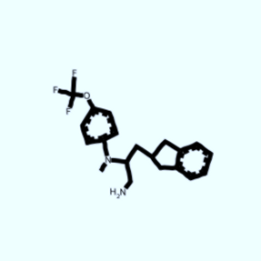 CN(c1ccc(OC(F)(F)F)cc1)C(CN)CC1Cc2ccccc2C1